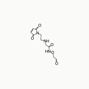 O=CCONC(=O)CNCCN1C(=O)C=CC1=O